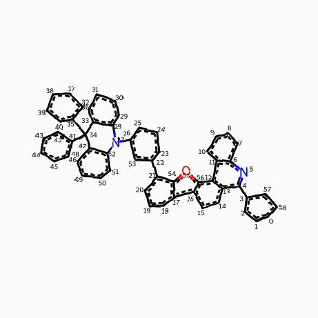 c1ccc(-c2nc3ccccc3c3c2ccc2c4cccc(-c5cccc(N6c7ccccc7C(c7ccccc7)(c7ccccc7)c7ccccc76)c5)c4oc23)cc1